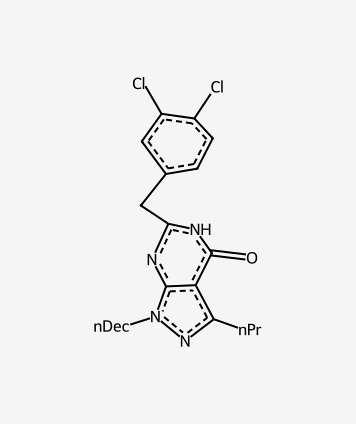 CCCCCCCCCCn1nc(CCC)c2c(=O)[nH]c(Cc3ccc(Cl)c(Cl)c3)nc21